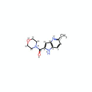 Cc1ccc2[nH]c(C(=O)N3CCOCC3)cc2n1